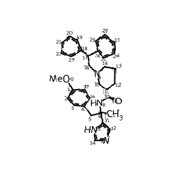 COc1ccc(CC(C)(NC(=O)[C@H]2CCCN(CC(c3ccccc3)c3ccccc3)C2)c2cnc[nH]2)cc1